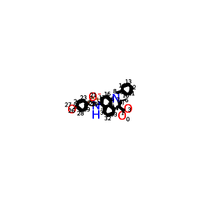 COC(=O)C[C@H](C)N(Cc1ccccc1)c1ccc(N[S+]([O-])c2ccc(OC)cc2)c2ccccc12